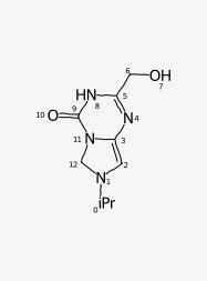 CC(C)N1C=C2N=C(CO)NC(=O)N2C1